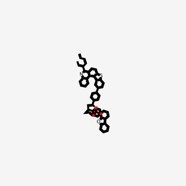 C=C/C=C\C(=C/C)c1nc2ccccc2c2c1ccc1sc3ccc(-c4ccc(C5=C/C(c6ccccc6)=C/C=C/C(c6cccc7c6oc6ccccc67)=N\5)cc4)cc3c12